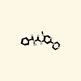 COc1cnc(N2CCOCC2)cc1NC(=O)N(S)C(=O)c1ccccc1